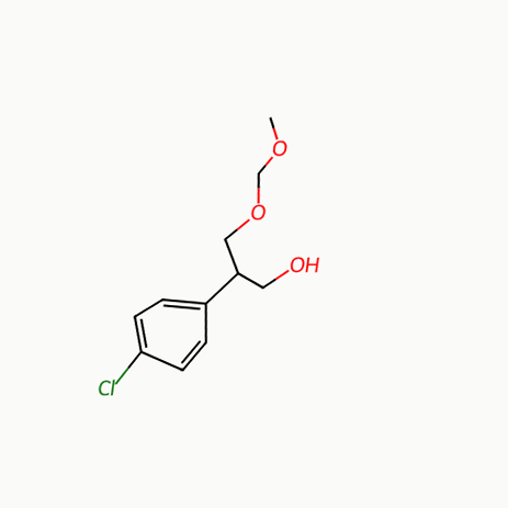 COCOCC(CO)c1ccc(Cl)cc1